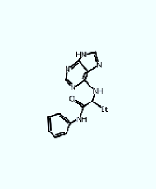 CCC(Nc1ncnc2[nH]cnc12)C(=O)Nc1ccccc1